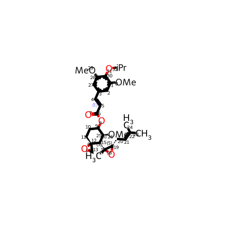 COc1cc(/C=C/C(=O)OC2CC[C@]3(CO3)[C@@H](C3(C)O[C@H]3CC=C(C)C)[C@@H]2OC)cc(OC)c1OC(C)C